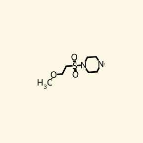 COCCS(=O)(=O)N1CC[N]CC1